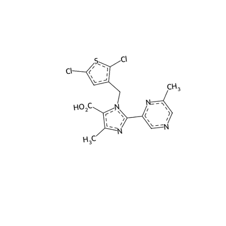 Cc1cncc(-c2nc(C)c(C(=O)O)n2Cc2cc(Cl)sc2Cl)n1